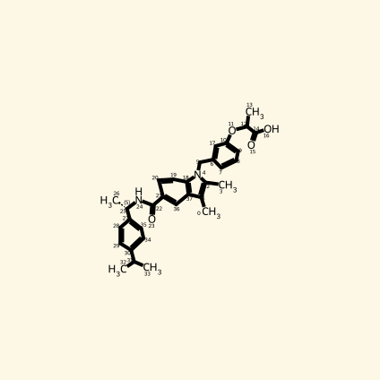 Cc1c(C)n(Cc2cccc(OC(C)C(=O)O)c2)c2ccc(C(=O)N[C@@H](C)c3ccc(C(C)C)cc3)cc12